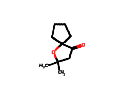 CC1(C)CC(=O)C2(CCCC2)O1